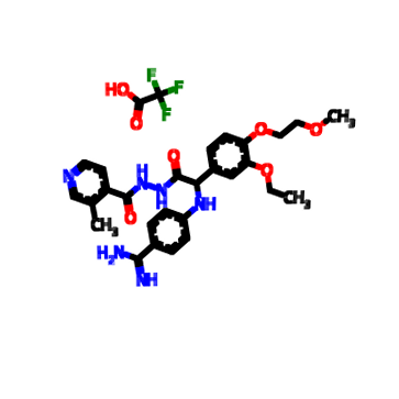 CCOc1cc(C(Nc2ccc(C(=N)N)cc2)C(=O)NNC(=O)c2ccncc2C)ccc1OCCOC.O=C(O)C(F)(F)F